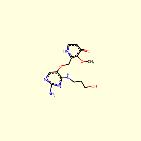 COc1c(COc2cnc(N)nc2NCCCO)[nH]ccc1=O